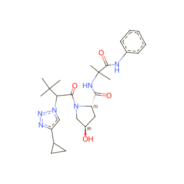 CC(C)(NC(=O)[C@@H]1C[C@@H](O)CN1C(=O)C(n1cc(C2CC2)nn1)C(C)(C)C)C(=O)Nc1ccccc1